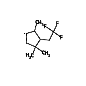 CC1[CH]CC(C)(C)C1CC(F)(F)F